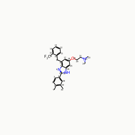 Cc1ccc(-c2nc3c(Cc4ccccc4C(F)(F)F)cc(OCCN(C)C)cc3[nH]2)cc1C